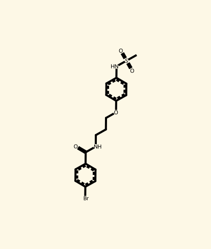 CS(=O)(=O)Nc1ccc(OCCCNC(=O)c2ccc(Br)cc2)cc1